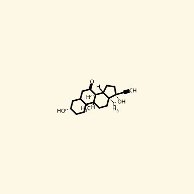 C#C[C@]1(O)CC[C@H]2[C@@H]3C(=O)CC4C[C@@H](O)CC[C@]4(C)[C@H]3CC[C@@]21C